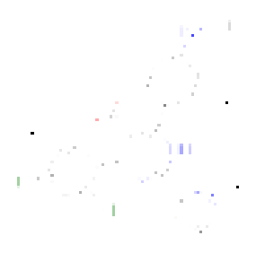 CNC1CCC(C2=C(C(=O)O)C(c3ccc(F)cc3Cl)N=C(c3nccs3)N2)CC1